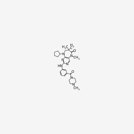 CN1CCN(C(=O)c2cccc(Nc3ncc4c(n3)N(C3CCCC3)CC(C)(C)C(=O)N4C)c2)CC1